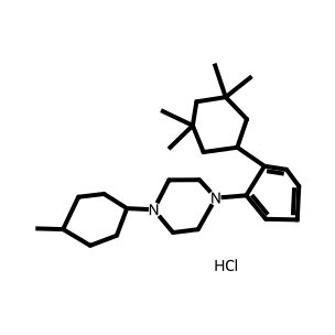 CC1CCC(N2CCN(c3ccccc3C3CC(C)(C)CC(C)(C)C3)CC2)CC1.Cl